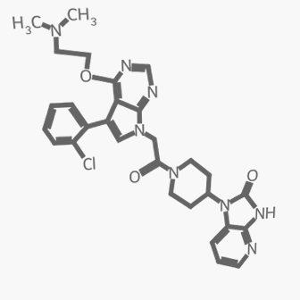 CN(C)CCOc1ncnc2c1c(-c1ccccc1Cl)cn2CC(=O)N1CCC(n2c(=O)[nH]c3ncccc32)CC1